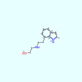 OCCNCCc1cccc2cc[nH]c12